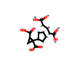 O=C(O)C1CC1(C(=O)O)C1CCCC1.O=C(O)CCCC(=O)O